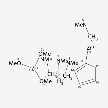 C[N-]C.C[N-]C.C[N-]C.C[N-]C.C[O][Zr+]([O]C)[O]C.[Zr+3][C]1=CC=CC1